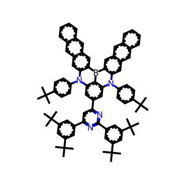 CC(C)(C)c1ccc(N2c3cc4cc5ccccc5cc4cc3B3c4cc5cc6ccccc6cc5cc4N(c4ccc(C(C)(C)C)cc4)c4cc(-c5cc(-c6cc(C(C)(C)C)cc(C(C)(C)C)c6)nc(-c6cc(C(C)(C)C)cc(C(C)(C)C)c6)n5)cc2c43)cc1